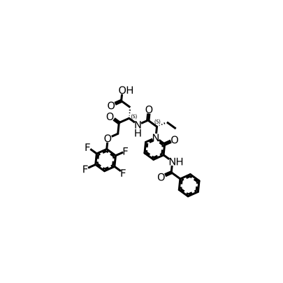 CC[C@@H](C(=O)N[C@@H](CC(=O)O)C(=O)COc1c(F)c(F)cc(F)c1F)n1cccc(NC(=O)c2ccccc2)c1=O